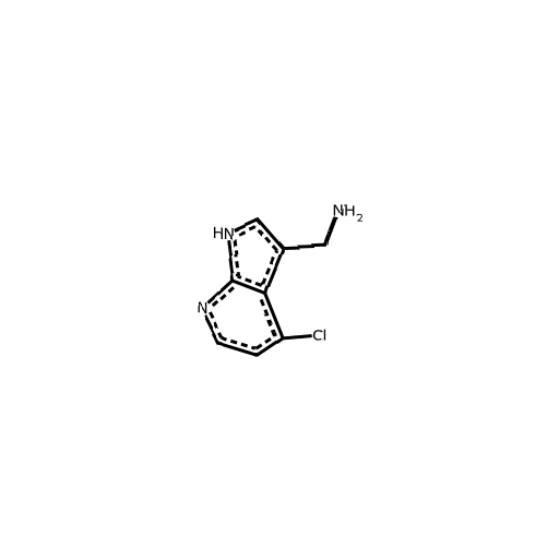 NCc1c[nH]c2nccc(Cl)c12